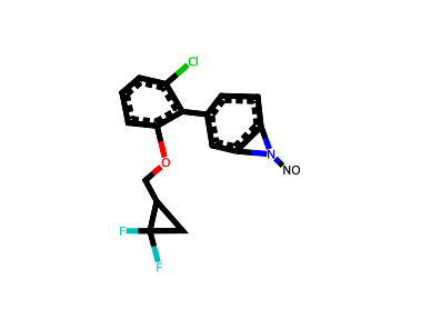 O=NN1c2ccc(-c3c(Cl)cccc3OCC3CC3(F)F)cc21